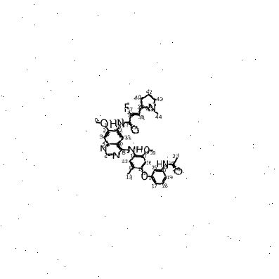 COc1cc2ncnc(Nc3cc(C)c(Oc4cccc(NC(C)=O)c4)cc3OC)c2cc1NC(=O)C(F)=CC1CCCN1C